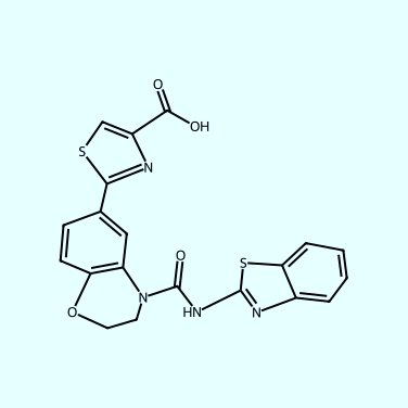 O=C(O)c1csc(-c2ccc3c(c2)N(C(=O)Nc2nc4ccccc4s2)CCO3)n1